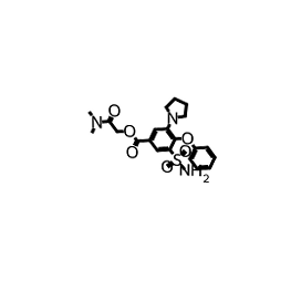 CN(C)C(=O)COC(=O)c1cc(N2CCCC2)c(Oc2ccccc2)c(S(N)(=O)=O)c1